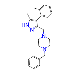 Cc1ccccc1-c1c(CN2CCN(Cc3ccccc3)CC2)n[nH]c1C